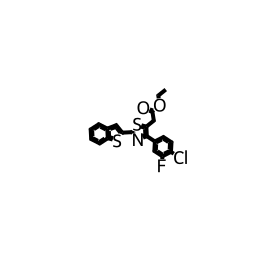 CCOC(=O)Cc1sc(-c2cc3ccccc3s2)nc1-c1ccc(Cl)c(F)c1